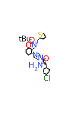 CC(C)(C)OC(=O)N(CCc1cccs1)Cc1ccccc1N1CCN(C(=O)[C@H](N)Cc2ccc(Cl)cc2)CC1